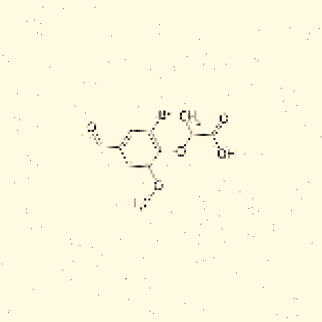 COc1cc(C=O)cc(Br)c1OC(C)C(=O)O